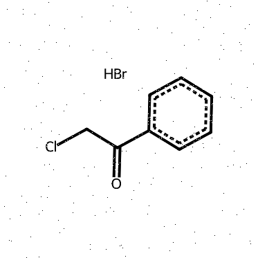 Br.O=C(CCl)c1ccccc1